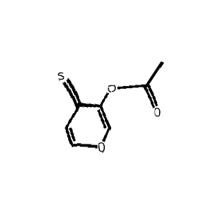 CC(=O)Oc1coccc1=S